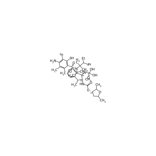 [2H]c1c(N)c(C)c(C)c(S(=O)(=O)N(C(C)[C@@H](OP(=O)(O)O)[C@@](C)(NC(=O)O[C@H]2CC(C)OC2C)C(C)c2ccccc2C)C(C)(C)C(CC)C(C)C)c1S